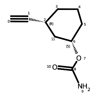 C#C[C@@H]1CCC[C@H](OC(N)=O)C1